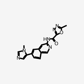 Cc1nnc(C(=O)Nc2cc3cc(-c4cncn4C)ccc3cn2)o1